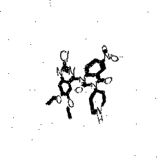 CCOc1cc2nc(Cl)nc(-n3c(=O)n(C4CCNCC4)c(=O)c4cc([N+](=O)[O-])ccc43)c2cc1OCC